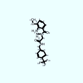 COc1cccc(C(=O)N(N)CC(=O)NCc2ccc(C(F)(F)F)cc2)c1N